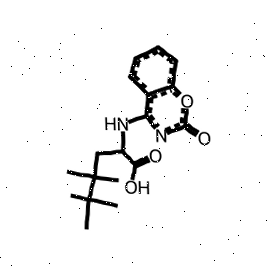 CC(C)(C)C(C)(C)CC(Nc1nc(=O)oc2ccccc12)C(=O)O